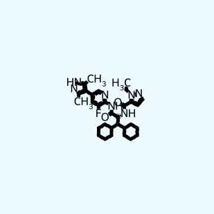 CCn1nccc1C(=O)N[C@@H](C(=O)Nc1ncc(-c2c(C)n[nH]c2C)cc1F)C(C1CCCCC1)C1CCCCC1